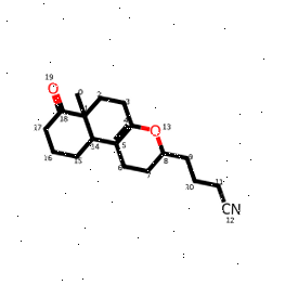 CC12CCC3=C(CCC(CCCC#N)O3)C1CCCC2=O